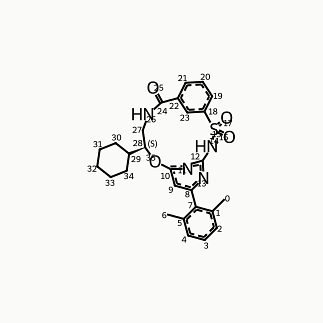 Cc1cccc(C)c1-c1cc2nc(n1)NS(=O)(=O)c1cccc(c1)C(=O)NC[C@H](C1CCCCC1)O2